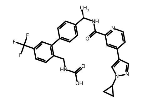 C[C@@H](NC(=O)c1cc(-c2cnn(C3CC3)c2)ccn1)c1ccc(-c2cc(C(F)(F)F)ccc2CNC(=O)O)cc1